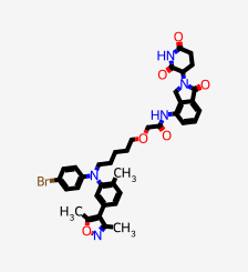 Cc1ccc(-c2c(C)noc2C)cc1N(CCCCCOCC(=O)Nc1cccc2c1CN(C1CCC(=O)NC1=O)C2=O)c1ccc(Br)cc1